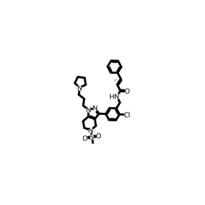 CS(=O)(=O)N1CCc2c(c(-c3ccc(Cl)c(CNC(=O)/C=C/c4ccccc4)c3)nn2CCCN2CCCC2)C1